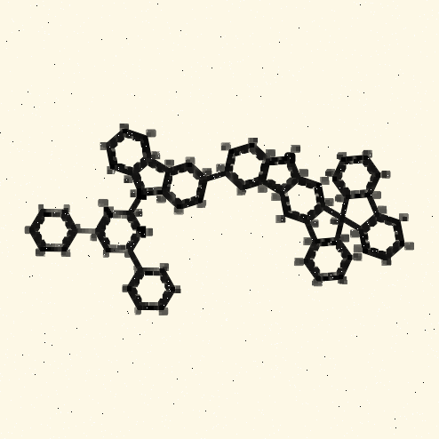 c1ccc(-c2cc(-c3ccccc3)nc(-n3c4ccccc4c4cc(-c5ccc6oc7cc8c(cc7c6c5)-c5ccccc5C85c6ccccc6-c6ccccc65)ccc43)n2)cc1